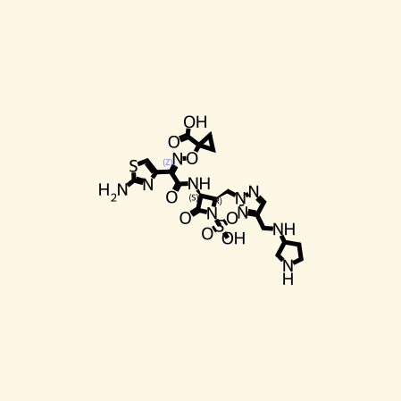 Nc1nc(/C(=N/OC2(C(=O)O)CC2)C(=O)N[C@@H]2C(=O)N(S(=O)(=O)O)[C@@H]2Cn2ncc(CNC3CCNC3)n2)cs1